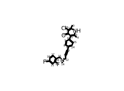 Cc1[nH]c(C)c(-c2ccc(C#CCN(C)Cc3ccc(F)cc3F)cc2)c(=O)c1Cl